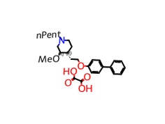 CCCCCN1CC[C@H](CCOc2ccc(-c3ccccc3)cc2)[C@@H](OC)C1.O=C(O)C(=O)O